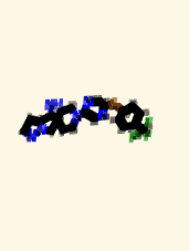 N[C@@H]1c2ccnn2CC12CCN(c1cnc(Sc3ccc(C(F)(F)F)cc3)cn1)CC2